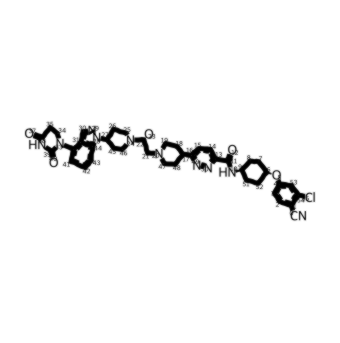 N#Cc1ccc(O[C@H]2CC[C@H](NC(=O)c3ccc(C4CCN(CC(=O)N5CCC(n6ncc7c(N8CCC(=O)NC8=O)cccc76)CC5)CC4)nn3)CC2)cc1Cl